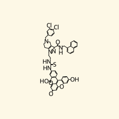 O=C(O)c1cc(NC(=S)NCCn2nc(C(=O)NCc3cccc4ccccc34)c3c2CCN(Cc2ccc(Cl)c(Cl)c2)C3)ccc1-c1c2ccc(=O)cc-2oc2cc(O)ccc12